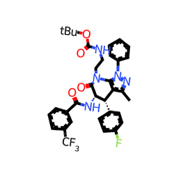 Cc1nn(-c2ccccc2)c2c1[C@H](c1ccc(F)cc1)[C@H](NC(=O)c1cccc(C(F)(F)F)c1)C(=O)N2CCNC(=O)OC(C)(C)C